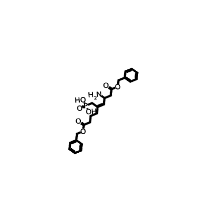 NC(C=C(CCCC(=O)OCc1ccccc1)CP(=O)(O)O)CC(=O)OCc1ccccc1